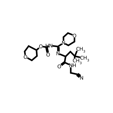 CC(C)(C)CC(N=C(NC(=O)OC1CCOCC1)N1CCOCC1)C(=O)NCC#N